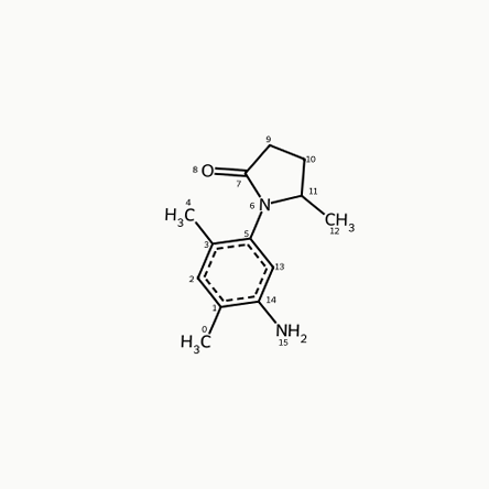 Cc1cc(C)c(N2C(=O)CCC2C)cc1N